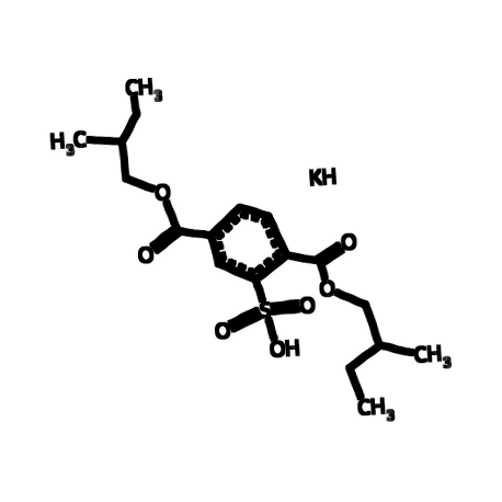 CCC(C)COC(=O)c1ccc(C(=O)OCC(C)CC)c(S(=O)(=O)O)c1.[KH]